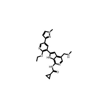 CCOc1ncc(-c2ccn(C)n2)cc1-c1cc2c(CNC)cnc(NC(=O)C3CC3)c2[nH]1